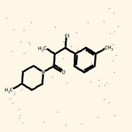 CCC(c1cccc(C)c1)C(C)C(=O)N1CCC(C)CC1